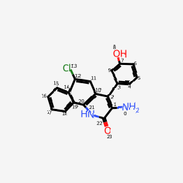 Nc1c(-c2cccc(O)c2)c2cc(Cl)c3ccccc3c2[nH]c1=O